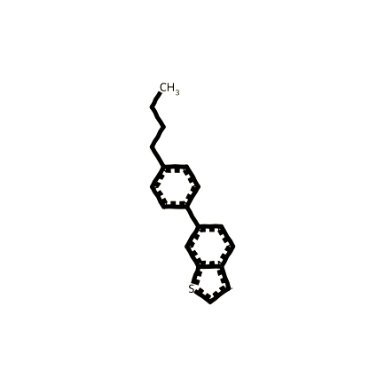 CCCCc1ccc(-c2ccc3[c]csc3c2)cc1